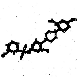 COc1ccc(N2CCN(c3ncc(NS(=O)(=O)c4cccc(C(F)(F)F)c4)cc3Cl)CC2)c(OC)c1